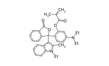 C=C(C)C(=O)Oc1cc(N(CC)CC)ccc1C1(c2c(C)n(CC)c3ccccc23)OC(=O)c2ccccc21